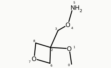 COC1(CON)COC1